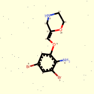 Nc1c(Br)cc(Br)cc1O/C=C1/CNCCO1